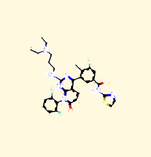 CCN(CC)CCCNc1nc(-c2cc(C(=O)Nc3nccs3)cc(F)c2C)c2ccc(=O)n(-c3c(F)cccc3F)c2n1